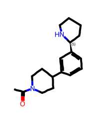 CC(=O)N1CCC(c2cccc([C@@H]3CCCCN3)c2)CC1